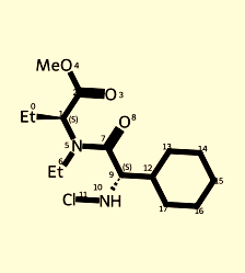 CC[C@@H](C(=O)OC)N(CC)C(=O)[C@@H](NCl)C1CCCCC1